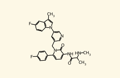 CNC(C)C(=O)Nc1ccc(-c2ccc(F)cc2)n(Cc2cncc(-n3cc(C)c4cc(F)ccc43)c2)c1=O